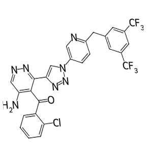 Nc1cnnc(-c2cn(-c3ccc(Cc4cc(C(F)(F)F)cc(C(F)(F)F)c4)nc3)nn2)c1C(=O)c1ccccc1Cl